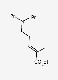 CCOC(=O)C(C)=CCCN(C(C)C)C(C)C